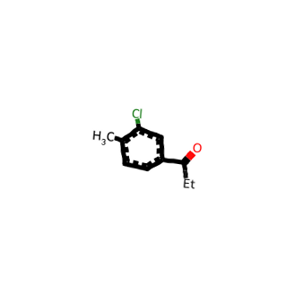 CCC(=O)c1ccc(C)c(Cl)c1